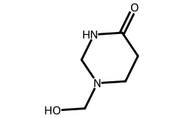 O=C1CCN(CO)CN1